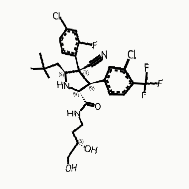 CC(C)(C)C[C@@H]1N[C@@H](C(=O)NCC[C@H](O)CO)[C@H](c2ccc(C(F)(F)F)c(Cl)c2)[C@@]1(C#N)c1ccc(Cl)cc1F